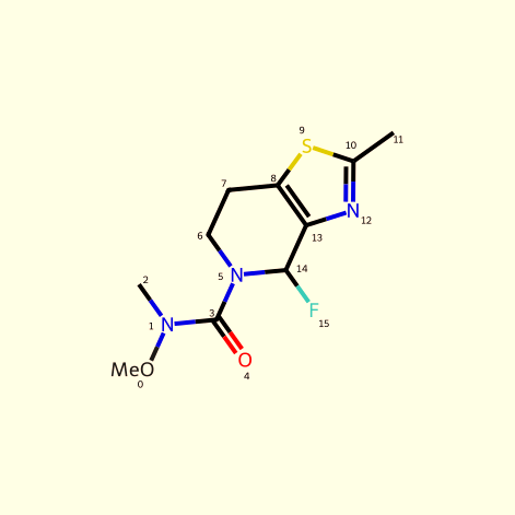 CON(C)C(=O)N1CCc2sc(C)nc2C1F